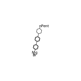 CCCCCC1CCC(c2ccc(-c3cc[c]([Mg][Br])cc3)cc2)CC1